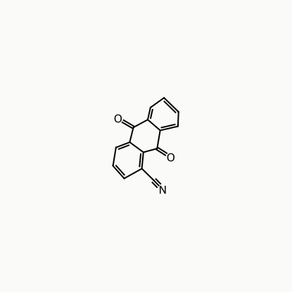 N#Cc1cccc2c1C(=O)c1ccccc1C2=O